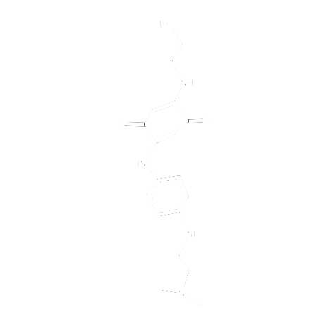 CCN(CC)CCNc1ccc(NC2=CC(=O)C(NCCO)=CC2=O)cc1